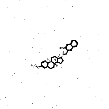 COc1ccc2c(c1)CC[C@@H]1[C@@H]2CC[C@]2(C)[C@H](NCc3cc4ccccc4cc3O)CC[C@@H]12